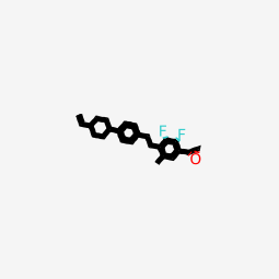 C=CC1CCC(c2ccc(CCc3c(C)cc(C4CO4)c(F)c3F)cc2)CC1